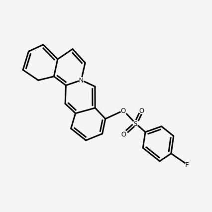 O=S(=O)(Oc1cccc2c1=CN1C=CC3=CC=CCC3=C1C=2)c1ccc(F)cc1